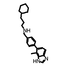 Cc1c(-c2ccc(CNCCCC3CCCCC3)cc2)ccc2nc[nH]c12